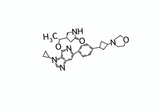 C[C@@H](Oc1nc(-c2ccc(C3CC(N4CCOCC4)C3)cc2)cc2ncn(C3CC3)c12)[C@H]1CNC(=O)C1